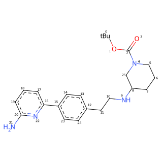 CC(C)(C)OC(=O)N1CCCC(NCCc2ccc(-c3cccc(N)n3)cc2)C1